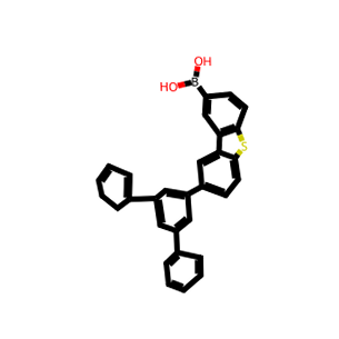 OB(O)c1ccc2sc3ccc(-c4cc(C5=CC=CCC5)cc(-c5ccccc5)c4)cc3c2c1